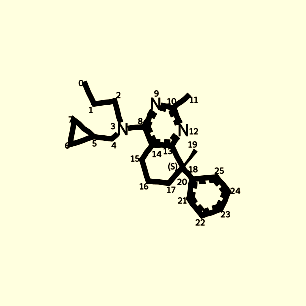 CCCN(CC1CC1)c1nc(C)nc2c1CCC[C@@]2(C)c1ccccc1